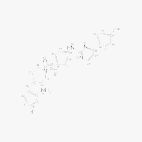 Nc1cc(F)ccc1CC1CCN(S(=O)(=O)c2ccc(Nc3nccc(-c4ccc(F)cc4)n3)cc2)CC1